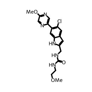 COCCNC(=O)NCc1cc2cc(Cl)c(-c3cnc(OC)cn3)cc2[nH]1